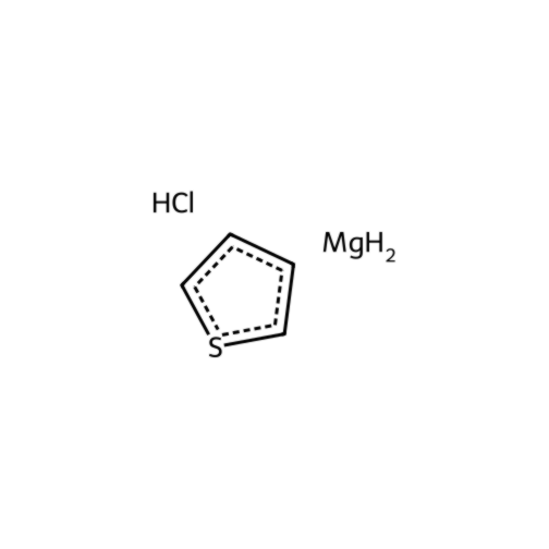 Cl.[MgH2].c1ccsc1